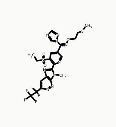 CCS(=O)(=O)c1cc(/C(=N/OCCSC)n2cncn2)cnc1-c1nc2cc(C(F)(F)C(F)(F)F)nnc2n1C